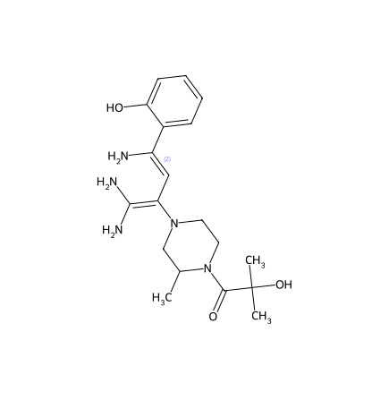 CC1CN(C(/C=C(\N)c2ccccc2O)=C(N)N)CCN1C(=O)C(C)(C)O